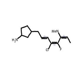 C\C=C(NC)/C(F)=C(Cl)\C=C\CC1CCC(N)C1